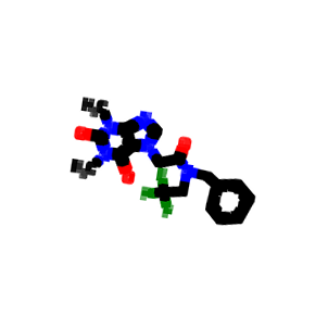 Cn1c(=O)c2c(ncn2CC(=O)N(Cc2ccccc2)CC(F)(F)F)n(C)c1=O